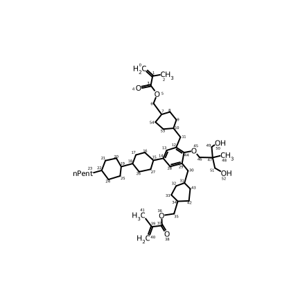 C=C(C)C(=O)OCC1CCC(Cc2cc(C3CCC(C4CCC(CCCCC)CC4)CC3)cc(CC3CCC(COC(=O)C(=C)C)CC3)c2OCC(C)(CO)CO)CC1